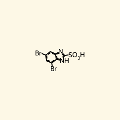 O=S(=O)(O)c1nc2cc(Br)cc(Br)c2[nH]1